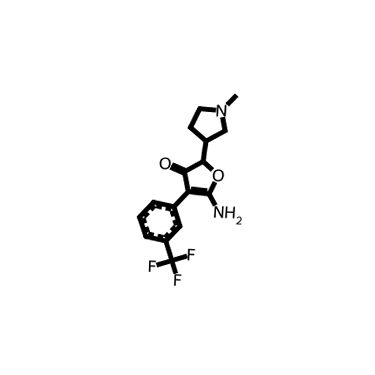 CN1CCC(C2OC(N)=C(c3cccc(C(F)(F)F)c3)C2=O)C1